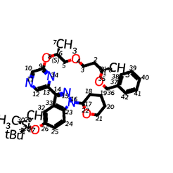 C[C@H](CCOC[C@H](C)Oc1cncc(-c2nn(C3CCCCO3)c3ccc(O[Si](C)(C)C(C)(C)C)cc23)n1)OCc1ccccc1